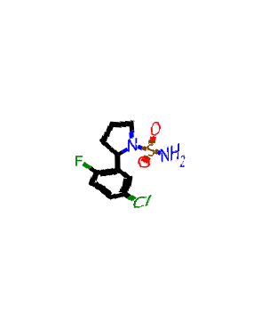 NS(=O)(=O)N1CCCC1c1cc(Cl)ccc1F